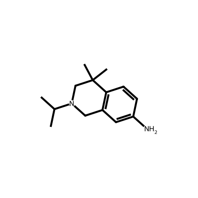 CC(C)N1Cc2cc(N)ccc2C(C)(C)C1